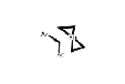 CC(=O)CC(C)=O.[CH2]1[CH2][Rh]12[CH2][CH2]2